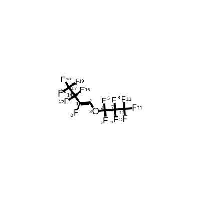 FC(=COC(F)(F)C(F)(F)C(F)(F)F)C(F)(F)C(F)(F)F